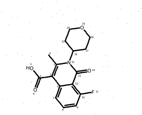 Cc1c(C(=O)O)c2cccc(F)c2c(=O)n1C1CCOCC1